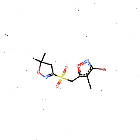 Cc1c(Br)noc1CS(=O)(=O)C1=NOC(C)(C)C1